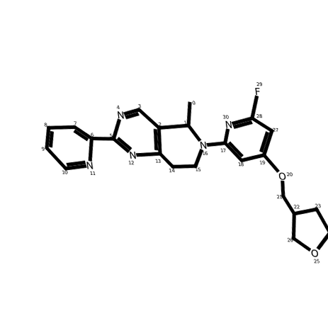 CC1c2cnc(-c3ccccn3)nc2CCN1c1cc(OCC2CCOC2)cc(F)n1